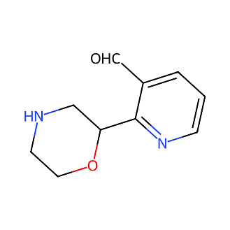 O=Cc1cccnc1C1CNCCO1